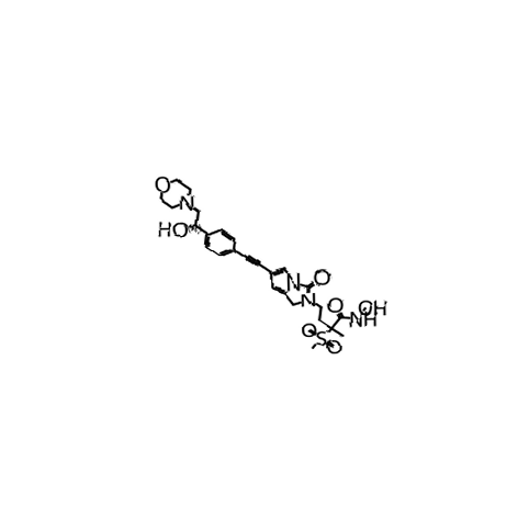 CC(CCN1Cc2cc(C#Cc3ccc([C@@H](O)CN4CCOCC4)cc3)cn2C1=O)(C(=O)NO)S(C)(=O)=O